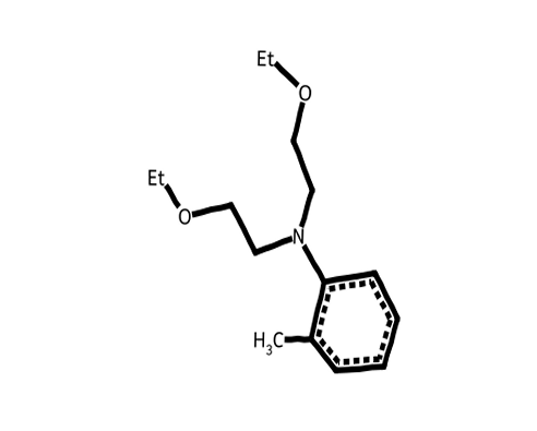 CCOCCN(CCOCC)c1ccccc1C